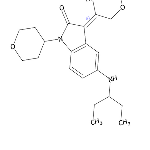 CCC(CC)Nc1ccc2c(c1)/C(=C1\COCCN1)C(=O)N2C1CCOCC1